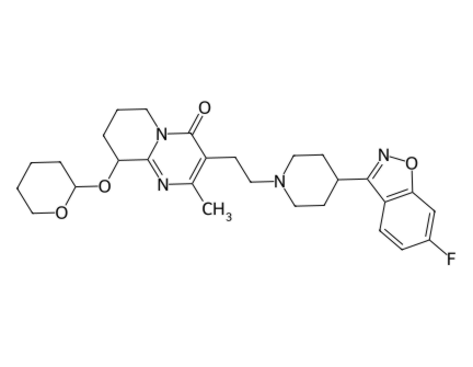 Cc1nc2n(c(=O)c1CCN1CCC(c3noc4cc(F)ccc34)CC1)CCCC2OC1CCCCO1